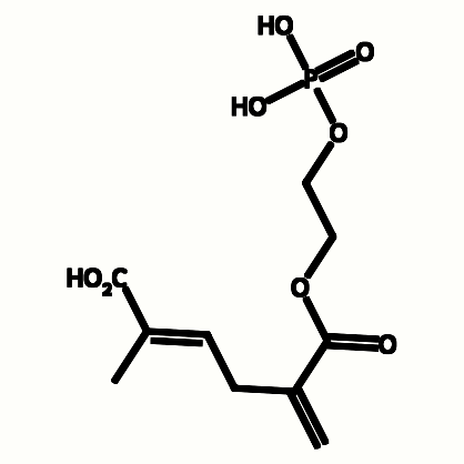 C=C(CC=C(C)C(=O)O)C(=O)OCCOP(=O)(O)O